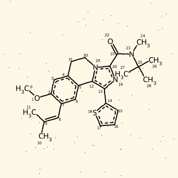 COc1cc2c(cc1C=C(C)C)-c1c(-c3cccs3)nc(C(=O)N(C)C(C)(C)C)n1CC2